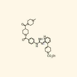 CCOC(=O)N1CC=C(c2ccc[nH]/c2=N\C(=N)Nc2ccc(C(=O)N3CCC(C(=O)N4CCN(C)CC4)CC3)cc2)CC1